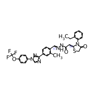 CCc1ccccc1N1C(=O)CS/C1=C\C(=O)N/N=C/c1ccc(-c2ncn(-c3ccc(OC(F)(F)F)cc3)n2)cc1C